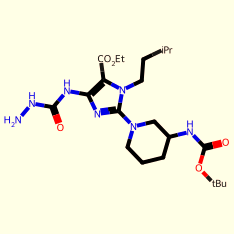 CCOC(=O)c1c(NC(=O)NN)nc(N2CCCC(NC(=O)OC(C)(C)C)C2)n1CCC(C)C